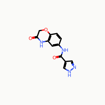 O=C1COc2ccc(NC(=O)c3cn[nH]c3)cc2N1